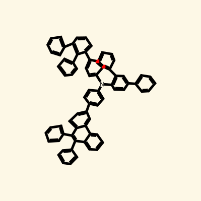 c1ccc(-c2ccc(N(c3ccc(-c4ccc5c(-c6ccccc6)c(-c6ccccc6)c6ccccc6c5c4)cc3)c3ccc(-c4cccc(-c5ccccc5)c4-c4ccccc4)cc3)c(-c3ccccc3)c2)cc1